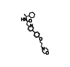 C[C@H](NC(=O)Cc1ccc(-c2ccc(OCCCN3CCOCC3)cc2)cn1)C1CCCCC1